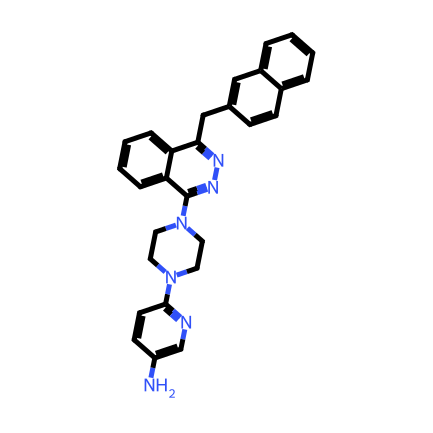 Nc1ccc(N2CCN(c3nnc(Cc4ccc5ccccc5c4)c4ccccc34)CC2)nc1